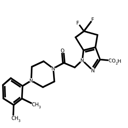 Cc1cccc(N2CCN(C(=O)Cn3nc(C(=O)O)c4c3CC(F)(F)C4)CC2)c1C